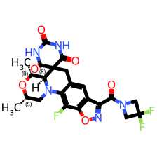 C[C@H]1CN2c3c(cc4c(C(=O)N5CC(F)(F)C5)noc4c3F)CC3(C(=O)NC(=O)NC3=O)[C@@H]2[C@@H](C)O1